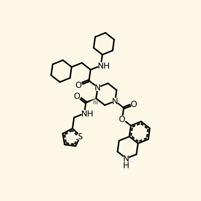 O=C(NCc1cccs1)[C@@H]1CN(C(=O)Oc2cccc3c2CCNC3)CCN1C(=O)C(CC1CCCCC1)NC1CCCCC1